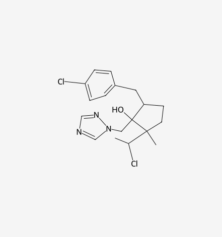 CC(Cl)C1(C)CCC(Cc2ccc(Cl)cc2)C1(O)Cn1cncn1